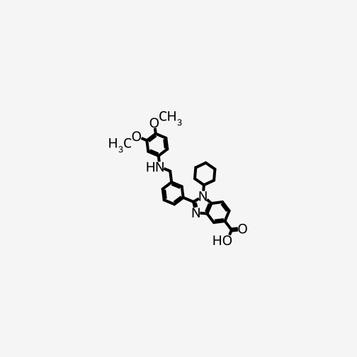 COc1ccc(NCc2cccc(-c3nc4cc(C(=O)O)ccc4n3C3CCCCC3)c2)cc1OC